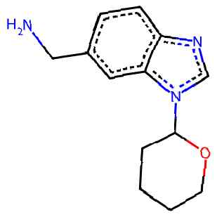 NCc1ccc2ncn(C3CCCCO3)c2c1